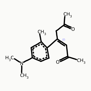 CC(=O)/C=C(/CC(C)=O)c1ccc(N(C)C)cc1C